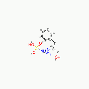 NS(=O)(=O)O.N[C@@H](CO)Cc1ccccc1